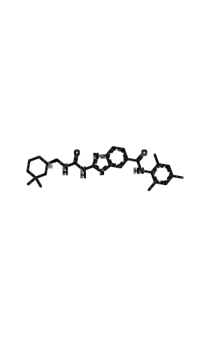 Cc1cc(C)c(NC(=O)c2ccc3nc(NC(=O)NC[C@@H]4CCCC(C)(C)C4)sc3c2)c(C)c1